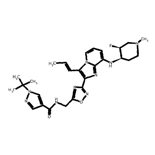 C/C=C/c1c(-c2noc(CNC(=O)c3cnn(C(C)(C)C)c3)n2)nc2c(N[C@@H]3CCN(C)C[C@@H]3F)cccn12